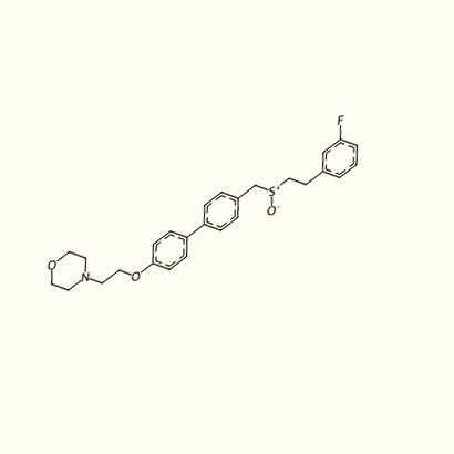 [O-][S+](CCc1cccc(F)c1)Cc1ccc(-c2ccc(OCCN3CCOCC3)cc2)cc1